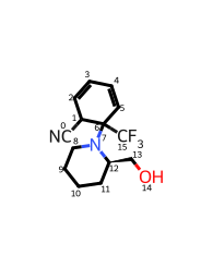 N#CC1C=CC=CC1(N1CCCC[C@@H]1CO)C(F)(F)F